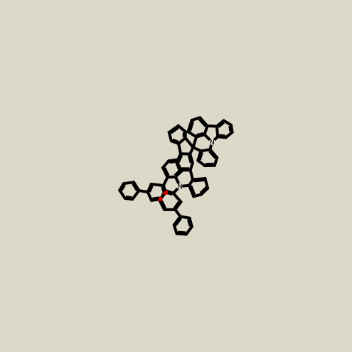 c1ccc(-c2cccc(-c3ccccc3N(c3cccc(-c4ccccc4)c3)c3ccccc3-c3ccc4c(c3)C3(c5ccccc5-4)c4ccccc4-n4c5ccccc5c5cccc3c54)c2)cc1